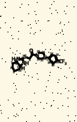 O=C(CSC1=N[C@H]2CCCC[C@@H]2N1)N1CCN(c2ccc(C(F)(F)F)cc2)CC1